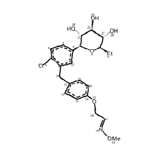 CC[C@H]1O[C@@H](c2ccc(Cl)c(Cc3ccc(OCC=NOC)cc3)c2)[C@H](O)[C@@H](O)[C@@H]1O